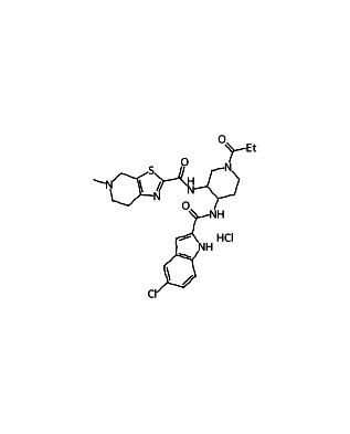 CCC(=O)N1CCC(NC(=O)c2cc3cc(Cl)ccc3[nH]2)C(NC(=O)c2nc3c(s2)CN(C)CC3)C1.Cl